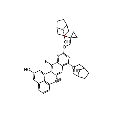 C#Cc1cccc2cc(O)cc(-c3c(F)cc4c(N5CC6CCC(C5)N6)nc(OCC5(CN6C7CCC6CC(O)C7)CC5)nc4c3F)c12